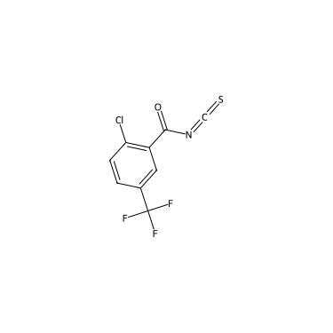 O=C(N=C=S)c1cc(C(F)(F)F)ccc1Cl